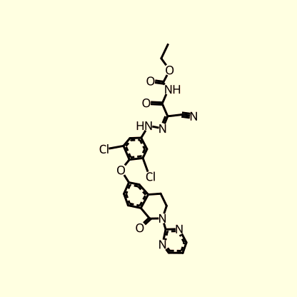 CCOC(=O)NC(=O)C(C#N)=NNc1cc(Cl)c(Oc2ccc3c(c2)CCN(c2ncccn2)C3=O)c(Cl)c1